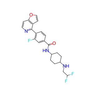 O=C(NC1CCC(NCC(F)F)CC1)c1ccc(-c2nccc3occc23)c(F)c1